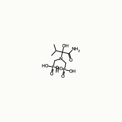 CC(C)C(O)(C(N)=O)N(CP(=O)(O)O)CP(=O)(O)O